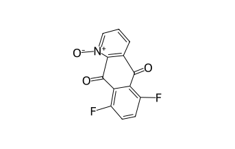 O=C1c2ccc[n+]([O-])c2C(=O)c2c(F)ccc(F)c21